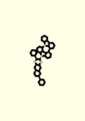 c1ccc(-c2ccc3cc4nc(-c5ccccc5)c(-n5c6cccc7c8cccc9c%10ccccc%10n(c%10cccc5c%10c76)c89)nc4cc3c2)cc1